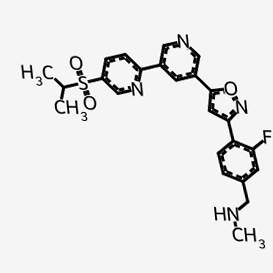 CNCc1ccc(-c2cc(-c3cncc(-c4ccc(S(=O)(=O)C(C)C)cn4)c3)on2)c(F)c1